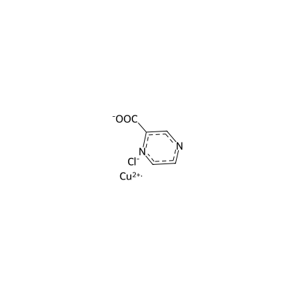 O=C([O-])c1cnccn1.[Cl-].[Cu+2]